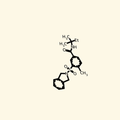 CCC(C)(C)NC(=O)c1ccc(C)c(S(=O)(=O)N2Cc3ccccc3C2)c1